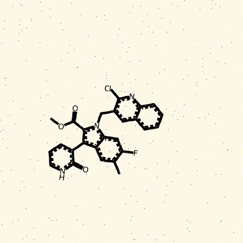 COC(=O)c1c(-c2ccc[nH]c2=O)c2cc(C)c(F)cc2n1Cc1cc2ccccc2nc1Cl